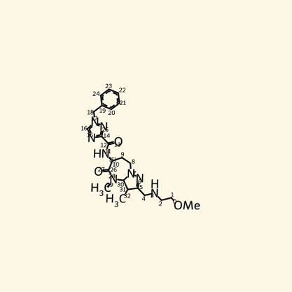 COCCNCC1=NN2CC[C@H](NC(=O)c3ncn(Cc4ccccc4)n3)C(=O)N(C)C2C1C